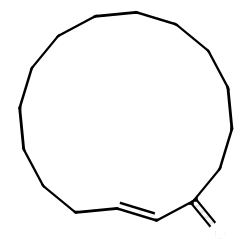 O=C1/C=C/CCCCCCCCCCCCC1